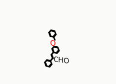 O=C/C(=C\c1cccc(OCc2ccccc2)c1)c1ccccc1